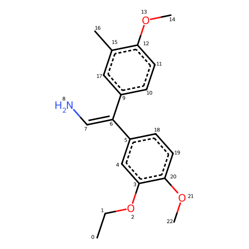 CCOc1cc(C(=CN)c2ccc(OC)c(C)c2)ccc1OC